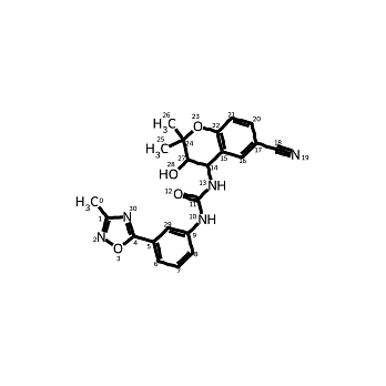 Cc1noc(-c2cccc(NC(=O)NC3c4cc(C#N)ccc4OC(C)(C)C3O)c2)n1